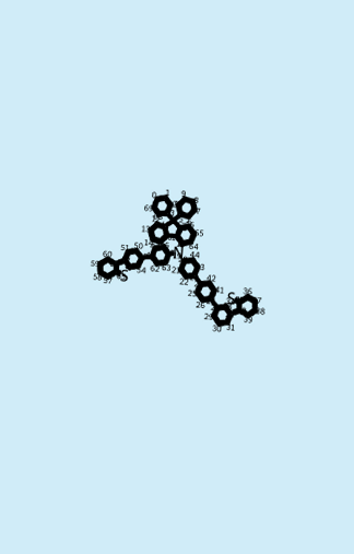 c1ccc(C2(c3ccccc3)c3ccccc3-c3c(N(c4ccc(-c5ccc(-c6cccc7c6sc6ccccc67)cc5)cc4)c4ccc(-c5ccc6c(c5)sc5ccccc56)cc4)cccc32)cc1